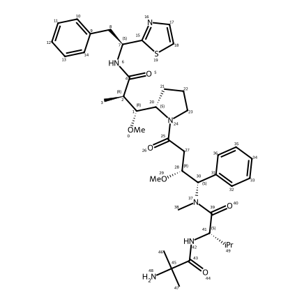 CO[C@H]([C@@H](C)C(=O)N[C@@H](Cc1ccccc1)c1nccs1)[C@@H]1CCCN1C(=O)C[C@@H](OC)[C@H](c1ccccc1)N(C)C(=O)[C@@H](NC(=O)C(C)(C)N)C(C)C